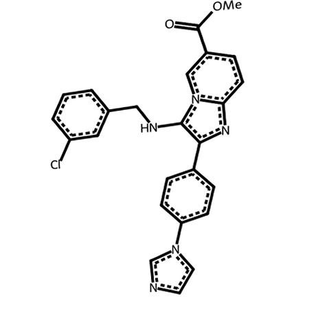 COC(=O)c1ccc2nc(-c3ccc(-n4ccnc4)cc3)c(NCc3cccc(Cl)c3)n2c1